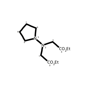 CCOC(=O)CN(CC(=O)OCC)N1CCCC1